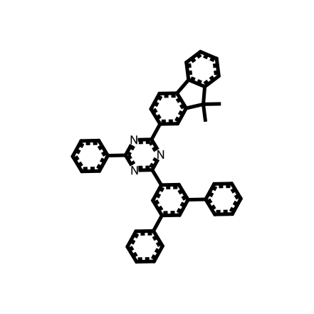 CC1(C)c2ccccc2-c2ccc(-c3nc(-c4ccccc4)nc(-c4cc(-c5ccccc5)cc(-c5ccccc5)c4)n3)cc21